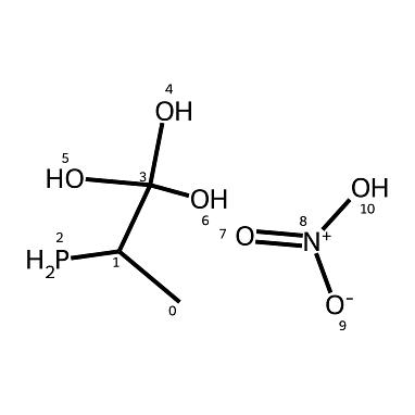 CC(P)C(O)(O)O.O=[N+]([O-])O